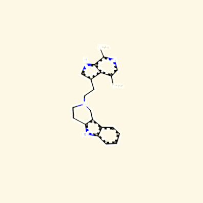 COc1ncc(OC)c2c(CCN3CCc4[nH]c5ccccc5c4C3)c[nH]c12